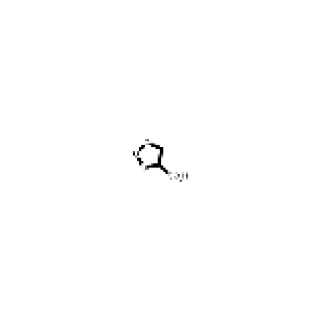 O=C(O)C1COOO1